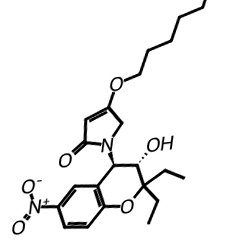 CCCCCCOC1=CC(=O)N([C@@H]2c3cc([N+](=O)[O-])ccc3OC(CC)(CC)[C@H]2O)C1